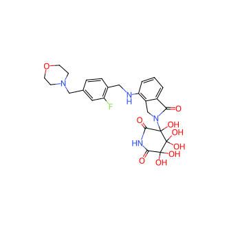 O=C1c2cccc(NCc3ccc(CN4CCOCC4)cc3F)c2CN1C1(O)C(=O)NC(=O)C(O)(O)C1(O)O